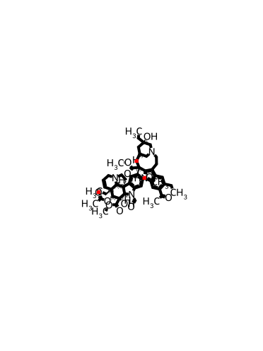 CCc1cc2c3c([nH]c2cc1C(C)=O)[C@@](C(=O)OC)(c1cc2c(cc1OC)N(C=O)[C@H]1[C@@](O)(C(=O)OC)[C@H](OC(C)=O)[C@]4(CC)C=CCN5CC[C@]21[C@@H]54)C[C@@H]1CN(CC3)C[C@](O)(CC)C1